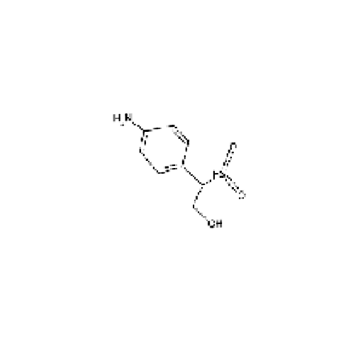 Nc1ccc(C(CO)[SH](=O)=O)cc1